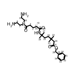 C[C@@H](CCC(=O)N(CCN)CCN)C(=O)NC(C)(C)CCC(C)(C)CC(=O)OCc1ccccc1